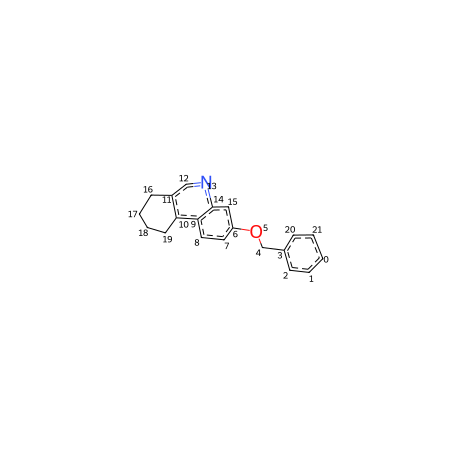 c1ccc(COc2ccc3c4c(cnc3c2)CCCC4)cc1